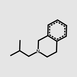 CC(C)CN1CCc2ccccc2C1